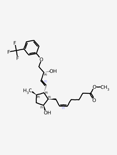 COC(=O)CCC/C=C\C[C@@H]1[C@@H](/C=C/[C@@H](O)COc2cccc(C(F)(F)F)c2)[C@H](C)C[C@@H]1O